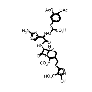 CC(=O)Oc1ccc(SC(O/N=C(\C(=O)N[C@@H]2C(=O)N3C(C(=O)O)=C(CSc4snc(O)c4C(=O)O)CS[C@H]23)c2csc(N)n2)C(=O)O)cc1OC(C)=O